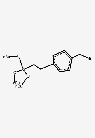 CCCCO[Si](CCc1ccc(CBr)cc1)(OCCCC)OCCCC